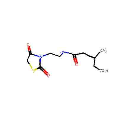 CC(CC(=O)O)CC(=O)NCCN1C(=O)CSC1=O